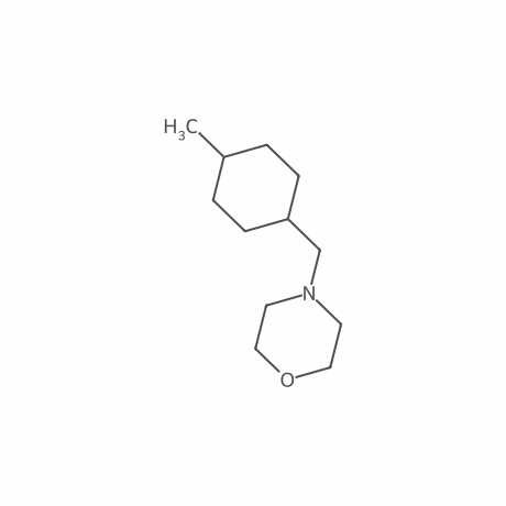 CC1CCC(CN2CCOCC2)CC1